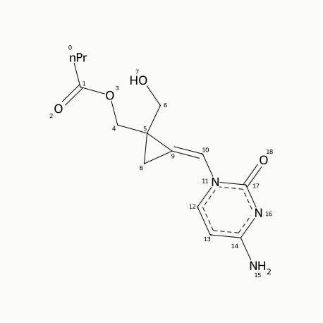 CCCC(=O)OCC1(CO)CC1=Cn1ccc(N)nc1=O